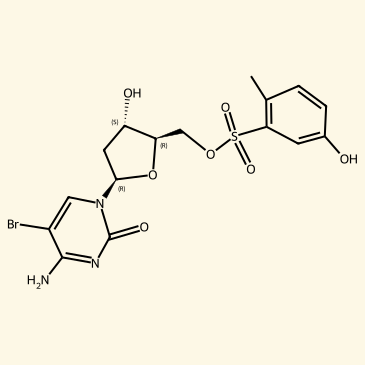 Cc1ccc(O)cc1S(=O)(=O)OC[C@H]1O[C@@H](n2cc(Br)c(N)nc2=O)C[C@@H]1O